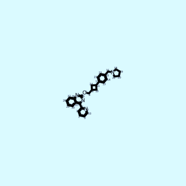 c1ccc(-c2nc(OCC3CC(c4ccc(CN5CCCC5)cc4)C3)nc3ccccc23)nc1